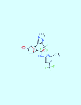 Cc1cc(C(F)(F)F)cc(NC(=O)C2C3CC(O)C(O3)C2c2cn(C)nc2C(F)(F)F)n1